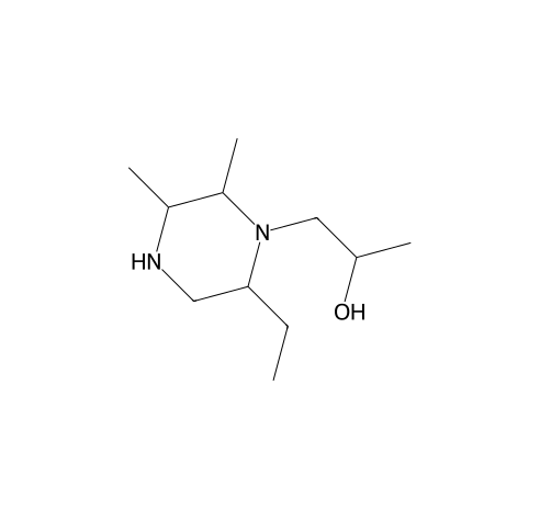 CCC1CNC(C)C(C)N1CC(C)O